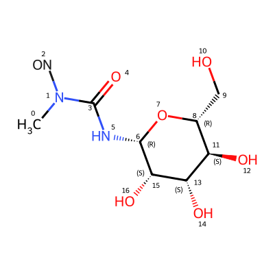 CN(N=O)C(=O)N[C@@H]1O[C@H](CO)[C@@H](O)[C@H](O)[C@@H]1O